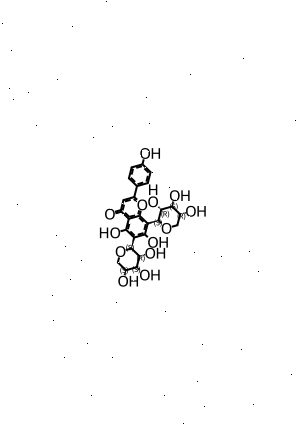 O=c1cc(-c2ccc(O)cc2)oc2c([C@@H]3OC[C@@H](O)[C@H](O)[C@H]3O)c(O)c([C@@H]3OC[C@H](O)[C@H](O)[C@H]3O)c(O)c12